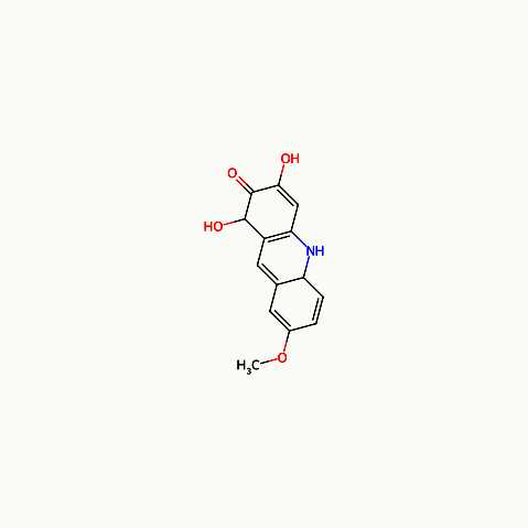 COC1=CC2=CC3=C(C=C(O)C(=O)C3O)NC2C=C1